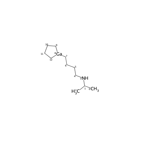 CC(C)NCCC[CH2][Ga]1[CH2]CC[CH2]1